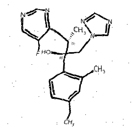 Cc1ccc([C@@](O)(Cn2cncn2)[C@@H](C)c2ncncc2F)c(C)c1